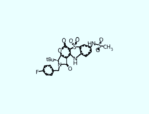 CC(C)(C)[C@H]1c2oc(=O)c3c(c2C(=O)N1Cc1ccc(F)cc1)Nc1ccc(NS(C)(=O)=O)cc1S3(=O)=O